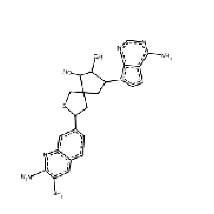 Bc1cc2ccc(C3CC4(CS3)CC(n3ccc5c(N)ncnc53)C(O)C4O)cc2nc1N